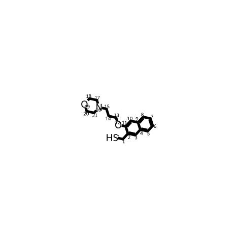 SCc1cc2ccccc2cc1OCCCN1CCOCC1